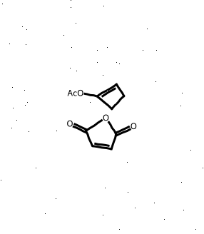 CC(=O)OC1=CCC1.O=C1C=CC(=O)O1